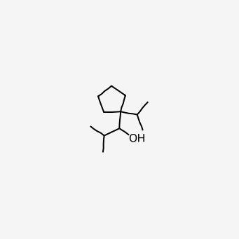 CC(C)C(O)C1(C(C)C)CCCC1